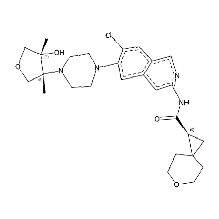 C[C@]1(O)COC[C@@]1(C)N1CCN(c2cc3cc(NC(=O)[C@H]4CC45CCOCC5)ncc3cc2Cl)CC1